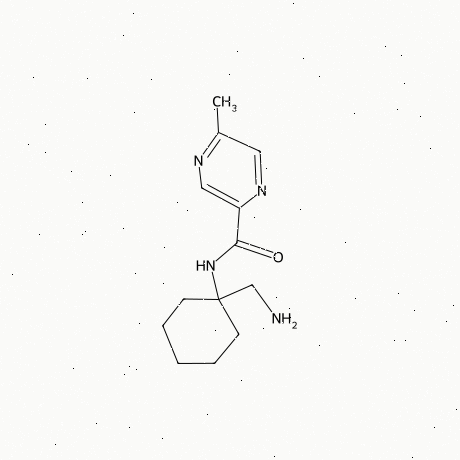 Cc1cnc(C(=O)NC2(CN)CCCCC2)cn1